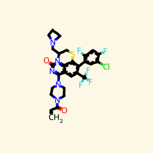 C=CC(=O)N1CCN(c2nc(=O)n3c4c(c(-c5cc(Cl)c(F)cc5F)c(C(F)(F)F)cc24)SCC3CN2CCC2)CC1